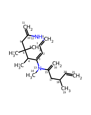 C=C/C=C(\C(C)C(C)(C)CC(=C)N)N(C)C(=C)CC(C)C=C